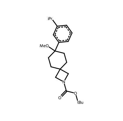 COC1(c2cccc(C(C)C)c2)CCC2(CC1)CN(C(=O)OC(C)(C)C)C2